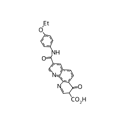 CCOc1ccc(NC(=O)c2cnc3c4c(ccc3c2)C(=O)C(C(=O)O)C=N4)cc1